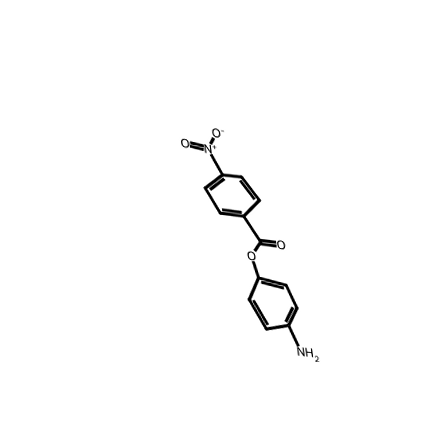 Nc1ccc(OC(=O)c2ccc([N+](=O)[O-])cc2)cc1